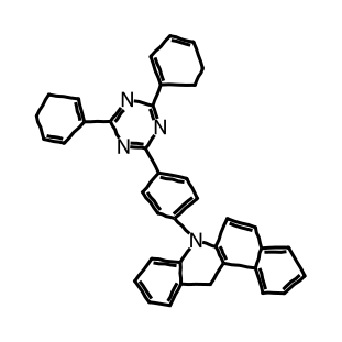 C1=CCCC(c2nc(C3=CCCC=C3)nc(-c3ccc(N4c5ccccc5Cc5c4ccc4ccccc54)cc3)n2)=C1